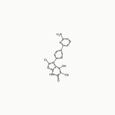 N#Cc1c(O)c2c(cc(Cl)n2-c2ccc(-c3cccc(N)n3)cc2)[nH]c1=O